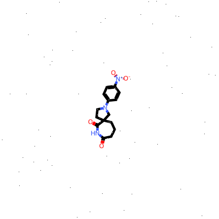 O=C1CCCC2(CCN(c3ccc([N+](=O)[O-])cc3)C2)C(=O)N1